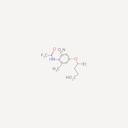 CCC(CCC(=O)O)Oc1cc(C)c(NC(=O)C(F)(F)F)c([N+](=O)[O-])c1